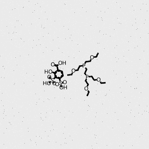 CCOCCP(CCOCC)CCP(CCOCC)CCOCC.O=C(O)c1ccc(S(=O)(=O)O)c(S(=O)(=O)O)c1O